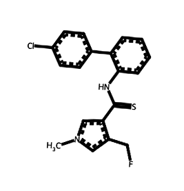 Cn1cc(CF)c(C(=S)Nc2ccccc2-c2ccc(Cl)cc2)c1